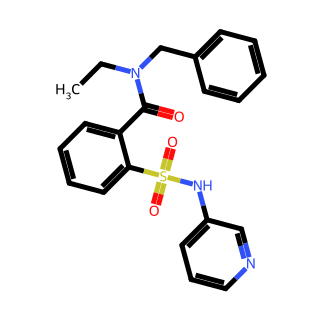 CCN(Cc1ccccc1)C(=O)c1ccccc1S(=O)(=O)Nc1cccnc1